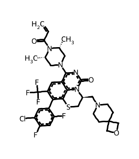 C=CC(=O)N1[C@H](C)CN(c2nc(=O)n3c4c(c(-c5cc(Cl)c(F)cc5F)c(C(F)(F)F)cc24)SC[C@@H]3CN2CCC3(CC2)COC3)C[C@@H]1C